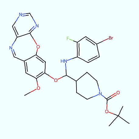 COc1cc2c(cc1OC(Nc1ccc(Br)cc1F)C1CCN(C(=O)OC(C)(C)C)CC1)Oc1ncncc1N=C2